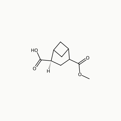 COC(=O)C1C[C@@H](C(=O)O)C2CC1C2